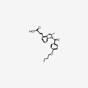 CCCCOc1ccc(C(=O)n2c(C)cc3c(C=CC(=O)O)cccc32)cc1